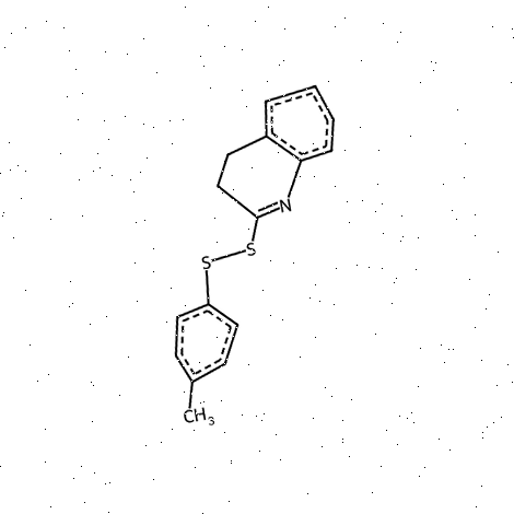 Cc1ccc(SSC2=Nc3ccccc3CC2)cc1